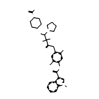 Cn1cc(C(=O)Nc2cc(F)c(CC(=O)C(C)(C)C(O[C@H]3CC[C@H](C(=O)O)CC3)N3CCCC3)cc2Cl)c2ccccc21